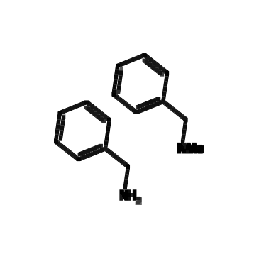 CNCc1ccccc1.NCc1ccccc1